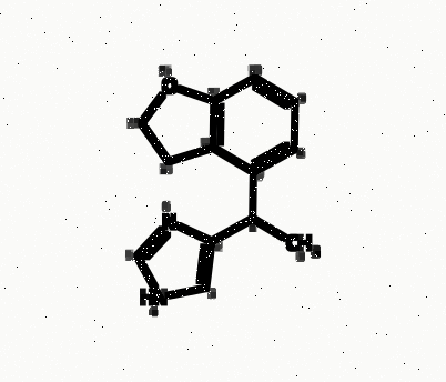 CC(c1c[nH]cn1)c1cccc2c1CCO2